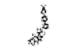 CC(=O)Cn1c(=O)c2c(ncn2[C@@H](C)C(=O)Nc2cncc(-c3cnc(N4CC5C(C4)C5(F)F)cn3)n2)n(C)c1=O